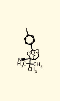 CC(C)(C)C1(C#N)OC2(c3ccc(I)cc3)OCC1CO2